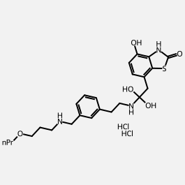 CCCOCCCNCc1cccc(CCNC(O)(O)Cc2ccc(O)c3[nH]c(=O)sc23)c1.Cl.Cl